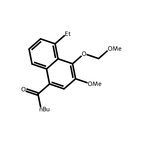 CCCCC(=O)c1cc(OC)c(OCOC)c2c(CC)cccc12